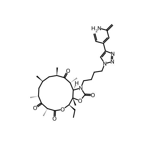 C=C/C(=C\C(=C)N)c1cn(CCCCN2C(=O)O[C@]3(C)[C@@H](CC)OC(=O)[C@H](C)C(=O)[C@H](C)C[C@@H](C)C[C@@H](C)C(=O)[C@H](C)[C@@H]23)nn1